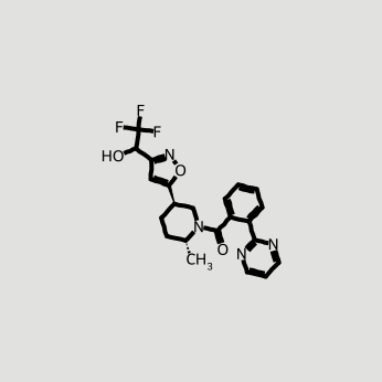 C[C@@H]1CC[C@@H](c2cc(C(O)C(F)(F)F)no2)CN1C(=O)c1ccccc1-c1ncccn1